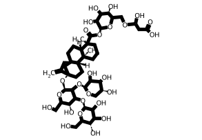 C=C1C[C@@]23CC[C@H]4[C@@](C)(CCC[C@@]4(C)C(=O)O[C@@H]4OC(COC(O)CC(=O)O)[C@@H](O)C(O)C4O)[C@@H]2CC[C@]1(O[C@@H]1OC(CO)[C@@H](O)C(O[C@@H]2OC(CO)[C@@H](O)C(O)C2O)C1O[C@@H]1OC[C@@H](O)C(O)C1O)C3